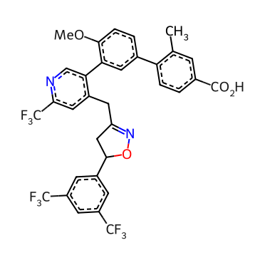 COc1ccc(-c2ccc(C(=O)O)cc2C)cc1-c1cnc(C(F)(F)F)cc1CC1=NOC(c2cc(C(F)(F)F)cc(C(F)(F)F)c2)C1